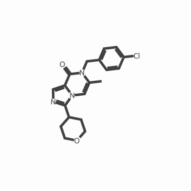 Cc1cn2c(C3CCOCC3)ncc2c(=O)n1Cc1ccc(Cl)cc1